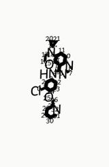 Clc1cc(Nc2ncnc3ccc4c(c23)OCCN4[C]2CC2)ccc1OCc1ccccn1